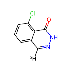 [2H]c1n[nH]c(=O)c2c(Cl)cccc12